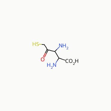 NC(C(=O)O)C(N)C(=O)CS